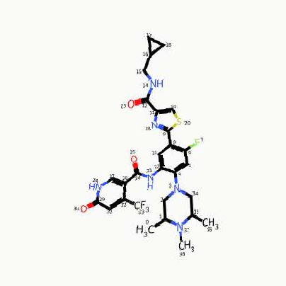 CC1CN(c2cc(F)c(-c3nc(C(=O)NCC4CC4)cs3)cc2NC(=O)c2c[nH]c(=O)cc2C(F)(F)F)CC(C)N1C